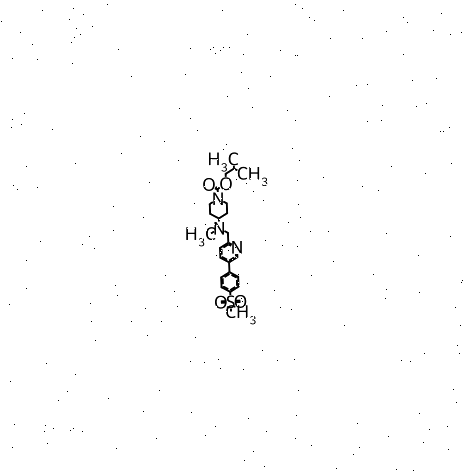 CC(C)COC(=O)N1CCC(N(C)Cc2ccc(-c3ccc(S(C)(=O)=O)cc3)cn2)CC1